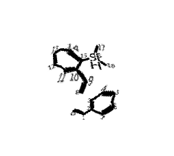 C=Cc1ccccc1.C=Cc1ccccc1[SiH](C)C